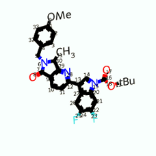 COc1ccc(CN2C(=O)c3ccc(-c4cn(C(=O)OC(C)(C)C)c5cc(F)c(F)cc45)nc3C2C)cc1